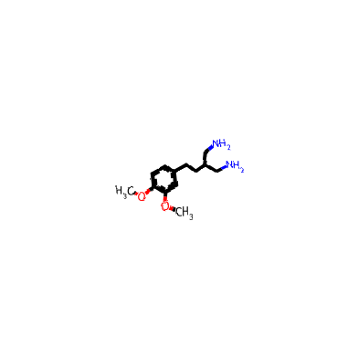 COc1ccc(CCC(CN)CN)cc1OC